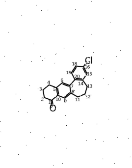 O=C1CCCc2cc3c(cc21)CCCc1cc(Cl)ccc1-3